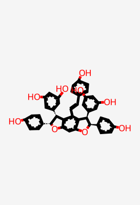 Oc1ccc(/C=C/c2c3c(cc4c2[C@@H](c2cc(O)cc(O)c2)[C@@H](c2ccc(O)cc2)O4)O[C@H](c2ccc(O)cc2)[C@@H]3c2cc(O)cc(O)c2)cc1